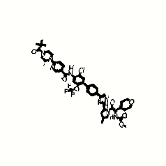 COC(=O)NC(C(=O)N1CC(C)CC1c1nc(-c2ccc(-c3cc(Cl)c(NC(=O)c4ccc(N5CCN(C(=O)C(C)(C)C)C[C@H]5C)nc4)cc3OC(F)(F)F)cc2)c[nH]1)C1CCOCC1